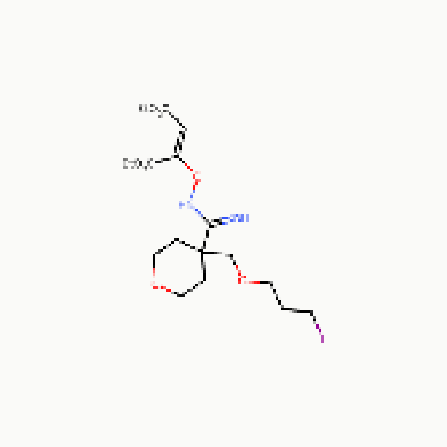 CCOC(=O)/C=C(/ONC(=N)C1(COCCCI)CCOCC1)C(=O)OCC